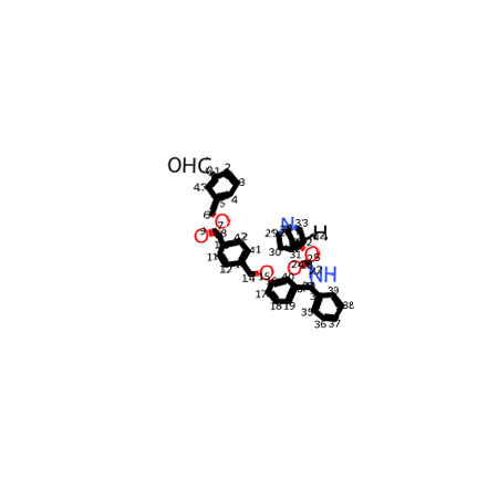 O=Cc1cccc(COC(=O)c2ccc(COc3cccc([C@@H](NC(=O)O[C@H]4CN5CCC4CC5)c4ccccc4)c3)cc2)c1